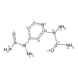 NC(=O)N(N)c1ccnc(N(N)C(N)=O)c1